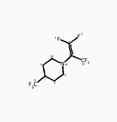 FC(F)=C(N1CCC(C(F)(F)F)CC1)C(F)(F)F